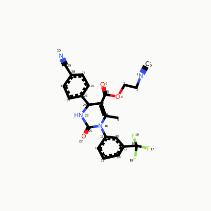 [C-]#[N+]CCOC(=O)C1=C(C)N(c2cccc(C(F)(F)F)c2)C(=O)NC1c1ccc(C#N)cc1